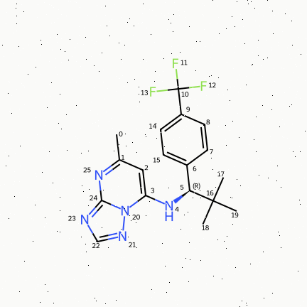 Cc1cc(N[C@@H](c2ccc(C(F)(F)F)cc2)C(C)(C)C)n2ncnc2n1